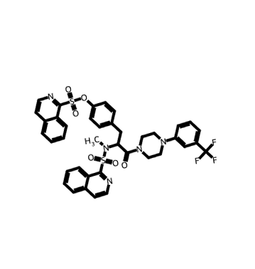 CN(C(Cc1ccc(OS(=O)(=O)c2nccc3ccccc23)cc1)C(=O)N1CCN(c2cccc(C(F)(F)F)c2)CC1)S(=O)(=O)c1nccc2ccccc12